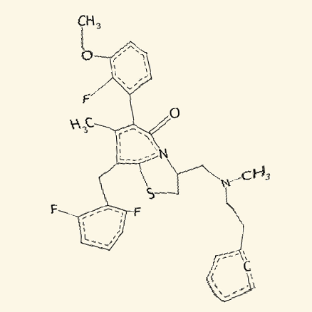 COc1cccc(-c2c(C)c(Cc3c(F)cccc3F)c3n(c2=O)C(CN(C)CCc2ccccc2)CS3)c1F